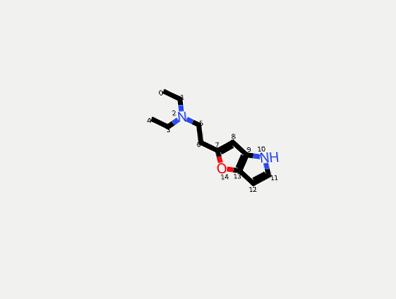 CCN(CC)CCc1cc2[nH]ccc2o1